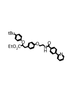 CCOC(=O)C(Cc1ccc(OCCNC(=O)c2ccc(-c3ccccn3)cc2)cc1)Oc1ccc(C(C)(C)C)cc1